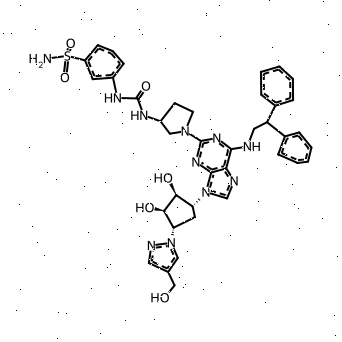 NS(=O)(=O)c1cccc(NC(=O)NC2CCN(c3nc(NCC(c4ccccc4)c4ccccc4)c4ncn([C@@H]5C[C@H](n6cc(CO)cn6)[C@@H](O)[C@H]5O)c4n3)C2)c1